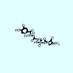 N[C@H]1CN(C(=O)NS(=O)(=O)NNC(=O)NNC(=O)c2cc(=O)c(O)c[nH]2)C1=O